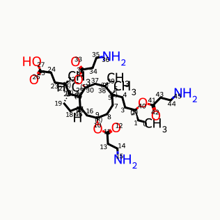 CC[C@@H](CC[C@@]1(C)CC[C@@H](OC(=O)CCN)C[C@@H]2CC[C@H]([C@H](C)CCC(=O)O)[C@@]2(C)[C@@H](OC(=O)CCN)C[C@H]1C)OC(=O)CCN